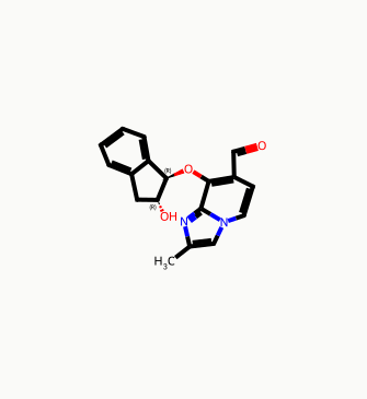 Cc1cn2ccc(C=O)c(O[C@@H]3c4ccccc4C[C@H]3O)c2n1